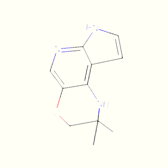 CC1(C)COc2cnc3[nH]ccc3c2N1